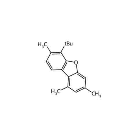 Cc1cc(C)c2c(c1)oc1c(C(C)(C)C)c(C)ccc12